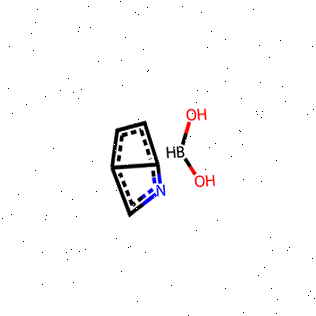 OBO.c1cc2ncc1-2